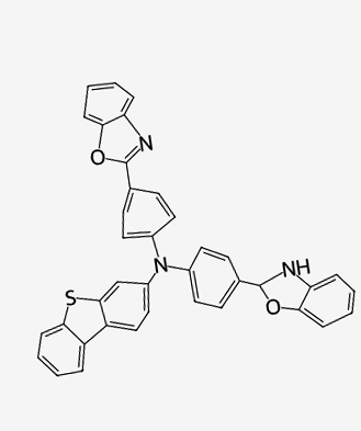 c1ccc2c(c1)NC(c1ccc(N(c3ccc(-c4nc5ccccc5o4)cc3)c3ccc4c(c3)sc3ccccc34)cc1)O2